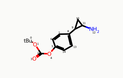 CC(C)(C)OC(=O)Oc1ccc(C2CC2N)cc1